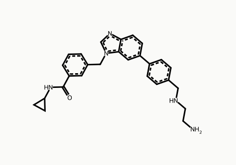 NCCNCc1ccc(-c2ccc3ncn(Cc4cccc(C(=O)NC5CC5)c4)c3c2)cc1